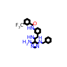 N=C(Cc1cccc(NC(=O)c2cccc(C(F)(F)F)c2)c1)c1c(N)ncnc1NCc1ccccc1